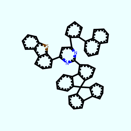 c1ccc(-c2cccc3ccccc23)c(-c2cc(-c3cccc4c3sc3ccccc34)nc(-c3cccc4c3-c3ccccc3C43c4ccccc4-c4ccccc43)n2)c1